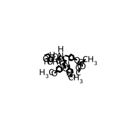 CCOP(=O)(COc1ccc(C[C@H](NC(=O)O[C@H]2CO[C@H]3OCC[C@H]32)[C@H](O)CN(CC2CCN(C)CC2)S(=O)(=O)c2ccc(OC)cc2)cc1)OCC